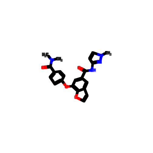 CN(C)C(=O)c1ccc(Oc2cc(C(=O)Nc3ccn(C)n3)cc3ccoc23)cc1